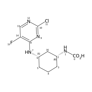 O=C(O)N[C@@H]1CCC[C@H](Nc2nc(Cl)ncc2F)C1